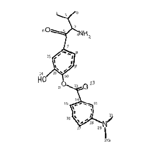 CC(C)C(N)C(=O)c1ccc(OC(=O)c2cccc(N(C)C)c2)c(O)c1